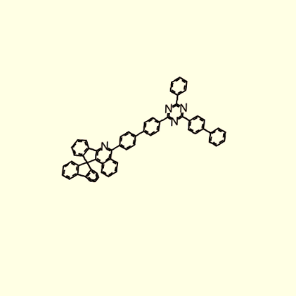 c1ccc(-c2ccc(-c3nc(-c4ccccc4)nc(-c4ccc(-c5ccc(-c6nc7c(c8ccccc68)C6(c8ccccc8-c8ccccc86)c6ccccc6-7)cc5)cc4)n3)cc2)cc1